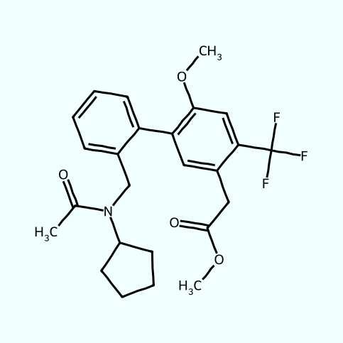 COC(=O)Cc1cc(-c2ccccc2CN(C(C)=O)C2CCCC2)c(OC)cc1C(F)(F)F